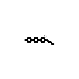 CCCCCC1CCC(c2ccc(-c3ccc(C)cc3)cc2)=CC1=O